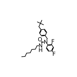 CCCCCCCNC(=O)N(Cc1ccc(CC(C)(C)C)cc1)c1ccc(F)cc1F